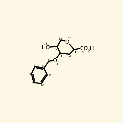 O=C(O)C1CC(OCc2ccccc2)C(O)CO1